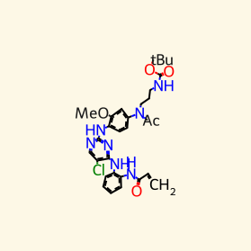 C=CC(=O)Nc1ccccc1Nc1nc(Nc2ccc(N(CCCNC(=O)OC(C)(C)C)C(C)=O)cc2OC)ncc1Cl